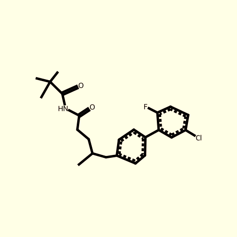 CC(CCC(=O)NC(=O)C(C)(C)C)Cc1ccc(-c2cc(Cl)ccc2F)cc1